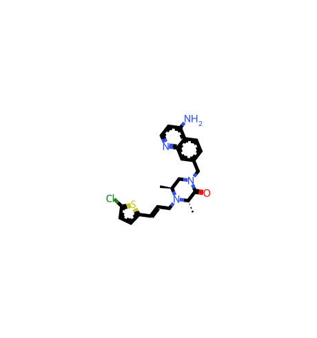 C[C@H]1CN(Cc2ccc3c(N)ccnc3c2)C(=O)[C@H](C)N1C/C=C/c1ccc(Cl)s1